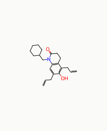 C=CCc1cc2c(c(CC=C)c1O)CCC(=O)N2CC1CCCCC1